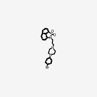 O=S1(=O)c2cccc3cccc(c23)N1CCCN1CCN(c2ccc(Br)cc2)CC1